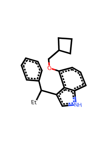 [CH2]CC(c1ccccc1)c1c[nH]c2cccc(OCC3CCC3)c12